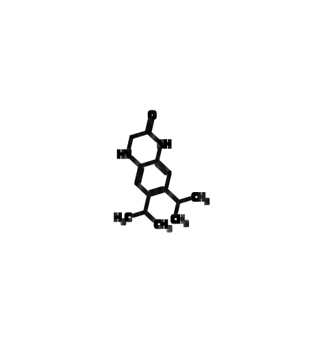 CC(C)c1cc2c(cc1C(C)C)NC(=O)CN2